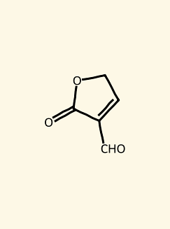 O=CC1=CCOC1=O